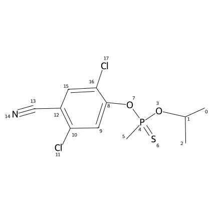 CC(C)OP(C)(=S)Oc1cc(Cl)c(C#N)cc1Cl